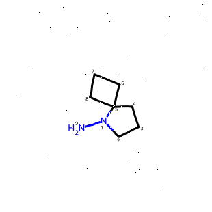 NN1CCCC12CCC2